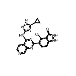 O=c1[nH][nH]c2ccc(-c3nc(Nc4n[nH]c(C5CC5)n4)c4ccncc4n3)c(Cl)c12